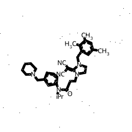 Cc1cc(C)c(C)c(CN2CCN(CCC(=O)N(c3cccc(CN4CCCCC4)c3)C(C)C)C2=C(C#N)C#N)c1